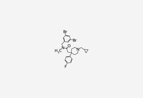 CN(Cc1cc(Br)cc(Br)c1)C(=O)CC1(c2ccc(F)cc2)CCN(CC2CC2)CC1